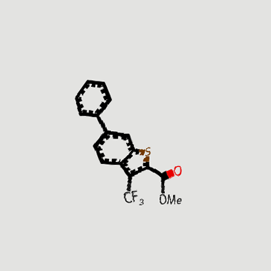 COC(=O)c1sc2cc(-c3ccccc3)ccc2c1C(F)(F)F